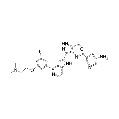 CN(C)CCOc1cc(F)cc(-c2nccc3[nH]c(-c4n[nH]c5ccc(-c6cncc(N)c6)nc45)cc23)c1